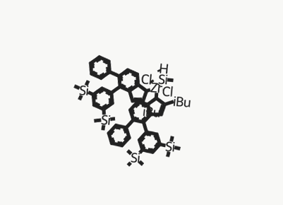 CCC(C)C1=Cc2c(ccc(-c3ccccc3)c2-c2cc([Si](C)(C)C)cc([Si](C)(C)C)c2)[CH]1[Zr]([Cl])([Cl])([CH]1C(C(C)CC)=Cc2c1ccc(-c1ccccc1)c2-c1cc([Si](C)(C)C)cc([Si](C)(C)C)c1)[SiH](C)C